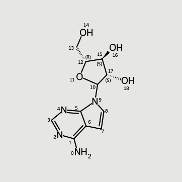 Nc1ncnc2c1ccn2C1O[C@H](CO)[C@@H](O)[C@@H]1O